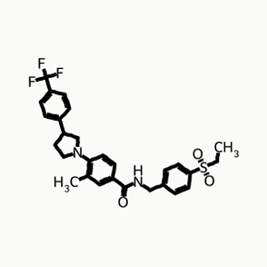 CCS(=O)(=O)c1ccc(CNC(=O)c2ccc(N3CCC(c4ccc(C(F)(F)F)cc4)C3)c(C)c2)cc1